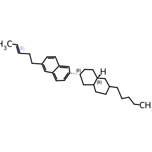 C/C=C/CCc1ccc2cc([C@@H]3CC[C@@H]4CC(CCCCC)CCC4C3)ccc2c1